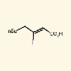 CCCCC/C(I)=C/C(=O)O